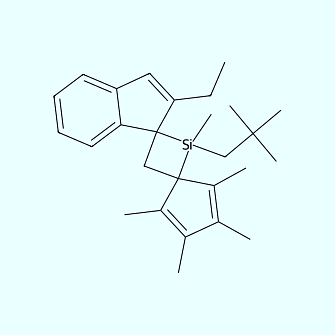 CCC1=Cc2ccccc2C12CC1(C(C)=C(C)C(C)=C1C)[Si]2(C)CC(C)(C)C